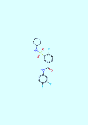 O=C(Nc1ccc(F)c(F)c1)c1ccc(F)c(S(=O)(=O)NC2CCCC2)c1